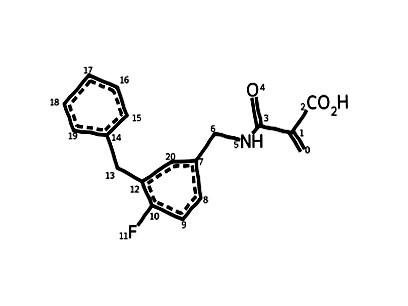 C=C(C(=O)O)C(=O)NCc1ccc(F)c(Cc2ccccc2)c1